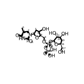 Cc1cn([C@H]2CC(O)[C@@H](COP(=O)(O[C@@H]3O[C@H](CO)C[C@H](O)[C@H]3O)OP(=O)(O)O)O2)c(=O)[nH]c1=O